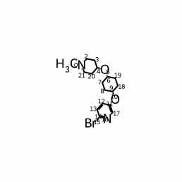 CN1CCC(O[C@H]2CC[C@H](Oc3ccc(Br)nc3)CC2)CC1